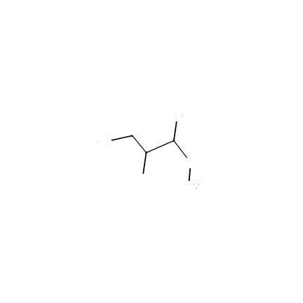 CCC(SSC)C(C)CO